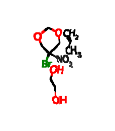 C=CC.O=[N+]([O-])C1(Br)COCOC1.OCCO